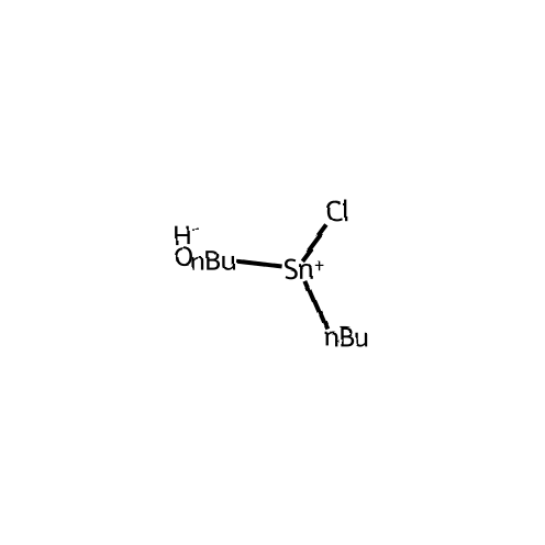 CCC[CH2][Sn+]([Cl])[CH2]CCC.[OH-]